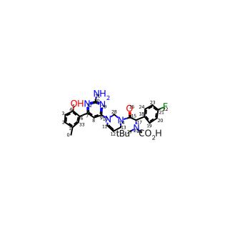 Cc1ccc(O)c(-c2cc(N3C=CCN(C(=O)[C@@H](c4ccc(F)cc4)N(C(=O)O)C(C)(C)C)C3)nc(N)n2)c1